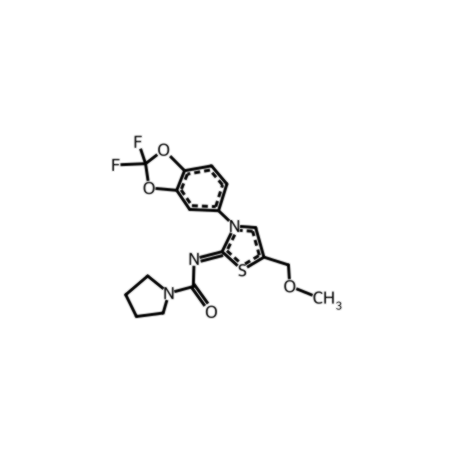 COCc1cn(-c2ccc3c(c2)OC(F)(F)O3)/c(=N/C(=O)N2CCCC2)s1